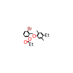 CCC(=O)Oc1cccc(Br)c1COc1cc(C)c(CC)cc1C